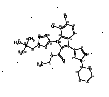 CCOC(=O)c1c(-c2cnn(C3CCCCO3)c2)c2ccc(Cl)c(Cl)c2n1-c1cn(C[Si](C)(C)C)nn1